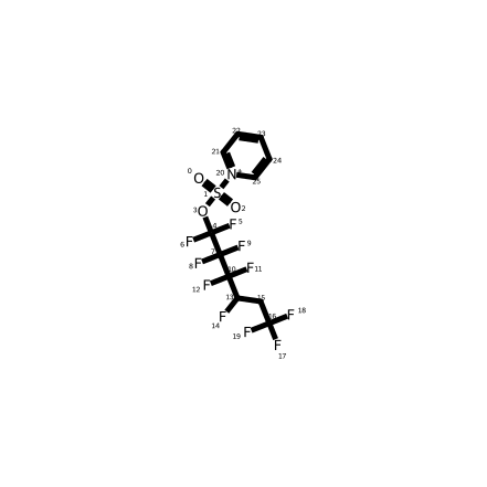 O=S(=O)(OC(F)(F)C(F)(F)C(F)(F)C(F)CC(F)(F)F)[n+]1ccccc1